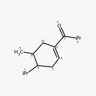 CC(C)C(=O)C1=CCC(C(C)C)C(C)C1